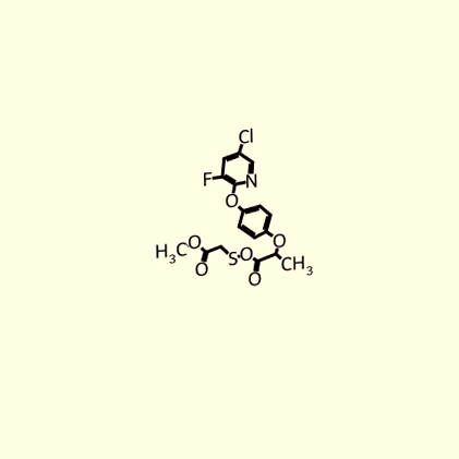 COC(=O)CSOC(=O)C(C)Oc1ccc(Oc2ncc(Cl)cc2F)cc1